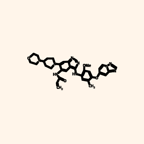 C=CC(=O)Nc1cc2c(Nc3cc(C)c(Oc4ccn5ncnc5c4)cc3OC)ncnc2cc1N1CCC(N2CCOCC2)CC1